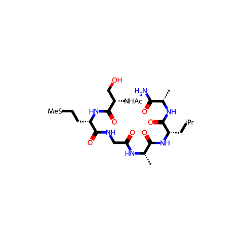 CSCC[C@H](NC(=O)[C@H](CO)NC(C)=O)C(=O)NCC(=O)N[C@@H](C)C(=O)N[C@@H](CC(C)C)C(=O)N[C@@H](C)C(N)=O